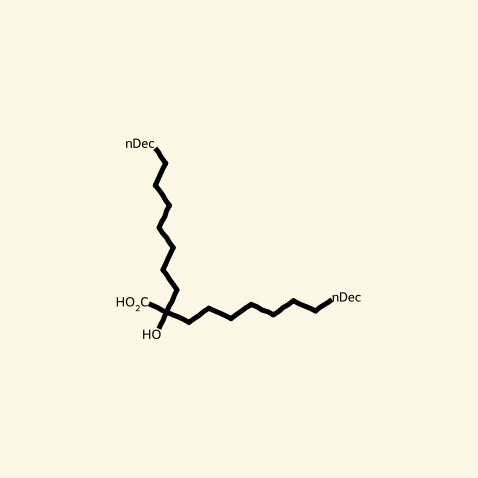 CCCCCCCCCCCCCCCCCC(O)(CCCCCCCCCCCCCCCCC)C(=O)O